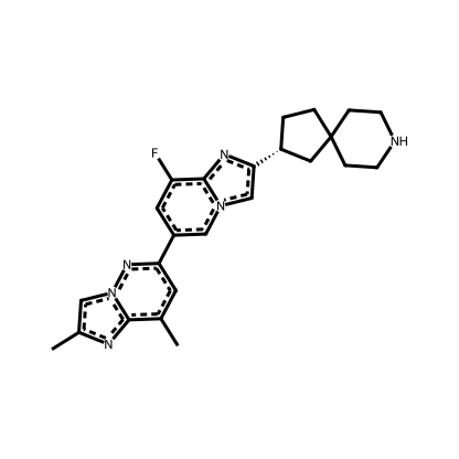 Cc1cn2nc(-c3cc(F)c4nc([C@@H]5CCC6(CCNCC6)C5)cn4c3)cc(C)c2n1